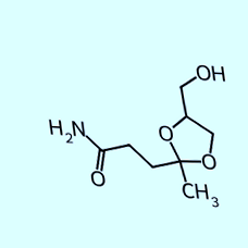 CC1(CCC(N)=O)OCC(CO)O1